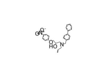 C=CCN(Cc1ccc(-c2ccccc2)cc1)CC(O)COc1ccc([N+](=O)[O-])cc1